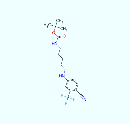 CC(C)(C)OC(=O)NCCCCCNc1ccc(C#N)c(C(F)(F)F)c1